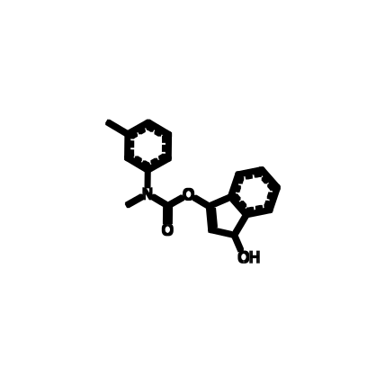 Cc1cccc(N(C)C(=O)OC2=CC(O)c3ccccc32)c1